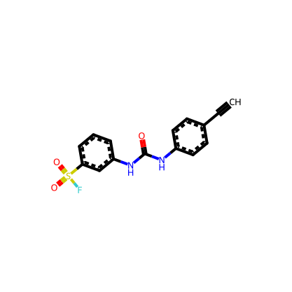 C#Cc1ccc(NC(=O)Nc2cccc(S(=O)(=O)F)c2)cc1